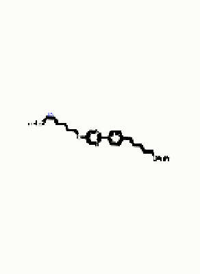 CCCCCC/C=C\CCCCOc1cnc(-c2ccc(CCCCCOCCC)cc2)nc1